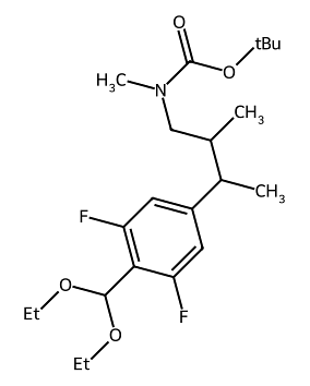 CCOC(OCC)c1c(F)cc(C(C)C(C)CN(C)C(=O)OC(C)(C)C)cc1F